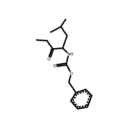 CCC(=O)C(CC(C)C)NC(=O)OCc1ccccc1